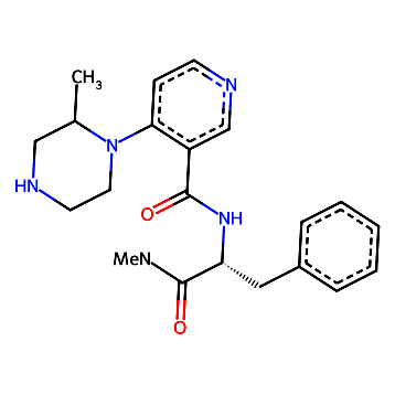 CNC(=O)[C@@H](Cc1ccccc1)NC(=O)c1cnccc1N1CCNCC1C